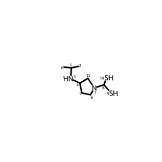 CC(C)NC1CCN(C(S)S)C1